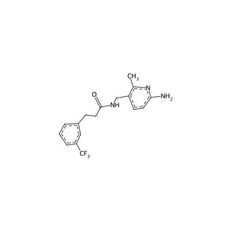 Cc1nc(N)ccc1CNC(=O)[CH]Cc1cccc(C(F)(F)F)c1